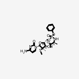 CS[C@]1(C)[C@H](O)[C@@H](COP(=O)(N[C@@H](C)C(C)=O)Oc2ccccc2)O[C@H]1n1ccc(N)nc1=O